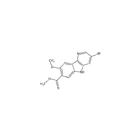 COC(=O)c1cc2[nH]c3cc(Br)cnc3c2cc1OC